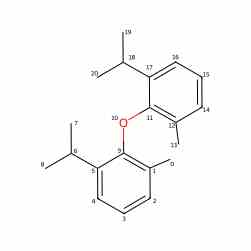 Cc1cccc(C(C)C)c1Oc1c(C)cccc1C(C)C